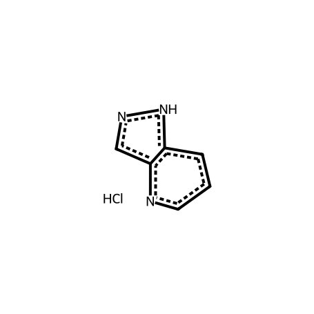 Cl.c1cnc2cn[nH]c2c1